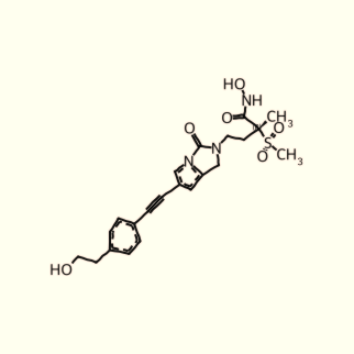 C[C@@](CCN1Cc2cc(C#Cc3ccc(CCO)cc3)cn2C1=O)(C(=O)NO)S(C)(=O)=O